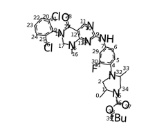 CC1CN(c2ccc(Nc3ncc4c(n3)N(C)CN(c3c(Cl)cccc3Cl)C4=O)cc2F)C(C)CN1C(=O)OC(C)(C)C